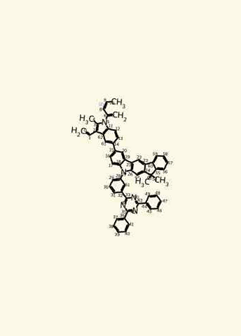 C=Cc1c(C)n(C(=C)/C=C\C)c2ccc(-c3ccc4c(c3)c3cc5c(cc3n4-c3cccc(-c4nc(-c6ccccc6)nc(-c6ccccc6)n4)c3)C(C)(C)c3ccccc3-5)cc12